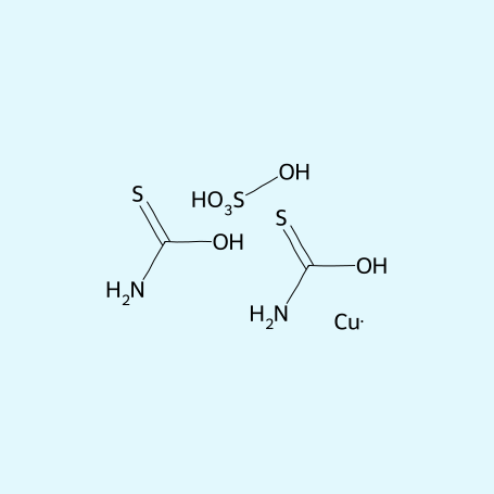 NC(O)=S.NC(O)=S.O=S(=O)(O)O.[Cu]